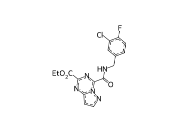 CCOC(=O)c1nc(C(=O)NCc2ccc(F)c(Cl)c2)n2nccc2n1